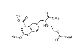 CCCCCC(=O)OCCN[C@@H](Cc1ccc(OC(=O)OC(C)(C)C)c(OC(=O)OC(C)(C)C)c1)C(=O)OC